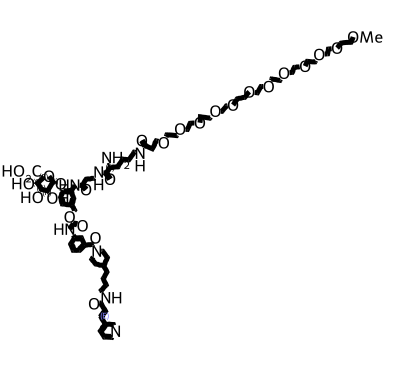 COCCOCCOCCOCCOCCOCCOCCOCCOCCOCCOCCOCCC(=O)NCCCC[C@H](N)C(=O)NCCC(=O)Nc1cc(COC(=O)Nc2cccc(C(=O)N3CCC(CCCCNC(=O)/C=C/c4cccnc4)CC3)c2)ccc1O[C@@H]1O[C@H](C(=O)O)[C@@H](O)[C@H](O)[C@H]1O